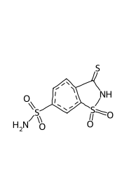 NS(=O)(=O)c1ccc2c(c1)S(=O)(=O)NC2=S